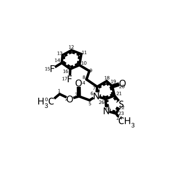 CCOC(=O)Cn1c(CCc2cccc(F)c2F)cc(=O)c2sc(C)nc21